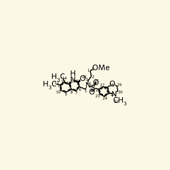 COCCCN(Cc1cc2ccc(C)c(C)c2[nH]c1=O)S(=O)(=O)c1ccc2c(c1)OCCN2C